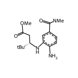 CNC(=O)c1ccc(N)c(N[C@@H](CC(=O)OC)C(C)(C)C)c1